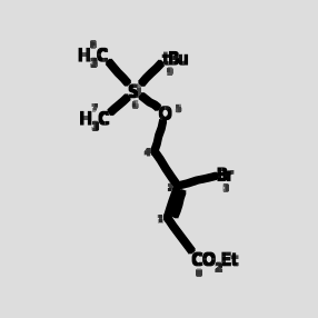 CCOC(=O)/C=C(\Br)CO[Si](C)(C)C(C)(C)C